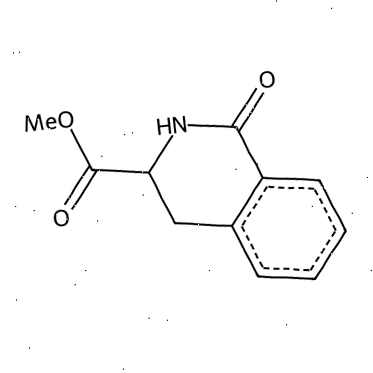 COC(=O)C1Cc2ccccc2C(=O)N1